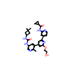 Cc1ncc(NC(=O)NC2CC(C)(C)C2)cc1-c1cc(OCCO)nc(-c2ccnc(NC(=O)C3CC3)c2)c1